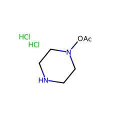 CC(=O)ON1CCNCC1.Cl.Cl